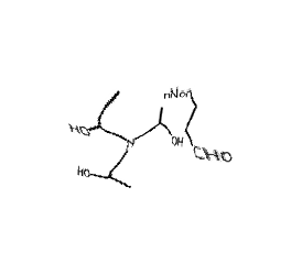 CC(O)N(C(C)O)C(C)O.CCCCCCCCCCCC=O